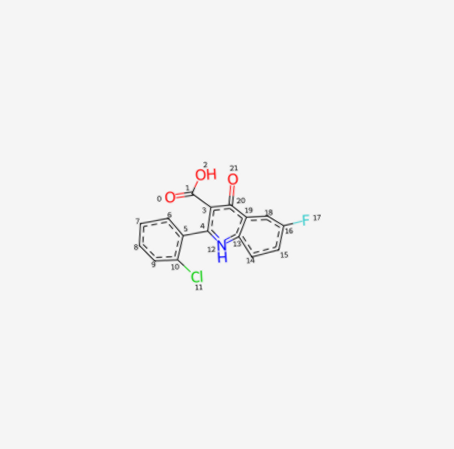 O=C(O)c1c(-c2ccccc2Cl)[nH]c2ccc(F)cc2c1=O